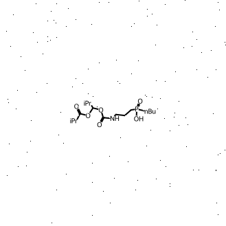 CCCCP(=O)(O)CCCNC(=O)OC(OC(=O)C(C)C)C(C)C